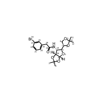 CC1(C)O[C@H]2O[C@H]([C@H]3COC(C)(C)O3)[C@@H](NC(=O)Cc3cccc(Br)c3)[C@H]2O1